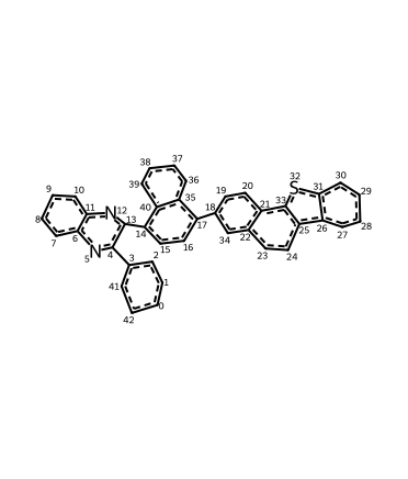 c1ccc(-c2nc3ccccc3nc2-c2ccc(-c3ccc4c(ccc5c6ccccc6sc45)c3)c3ccccc23)cc1